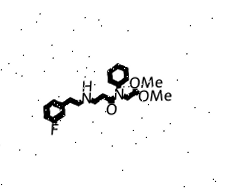 COC(CN(C(=O)CCNCCc1cccc(F)c1)C1CCCCC1)OC